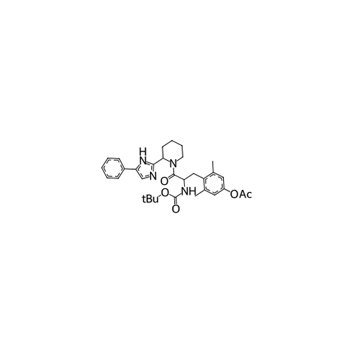 CC(=O)Oc1cc(C)c(CC(NC(=O)OC(C)(C)C)C(=O)N2CCCCC2c2ncc(-c3ccccc3)[nH]2)c(C)c1